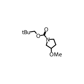 COC1CCN(C(=O)OCC(C)(C)C)C1